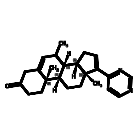 CC1C=C2CC(=O)CC[C@]2(C)[C@@H]2CC[C@]3(C)C(c4ccncn4)=CC[C@H]3[C@H]12